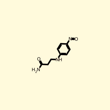 NC(=O)CCNc1ccc(N=O)cc1